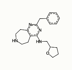 c1ccc(Cc2nc3c(c(NCC4CCCO4)n2)CCNCC3)cc1